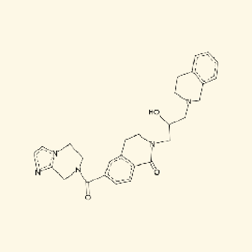 O=C(c1ccc2c(c1)CCN(CC(O)CN1CCc3ccccc3C1)C2=O)N1CCn2ccnc2C1